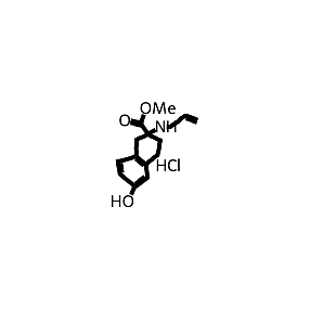 C=CCNC1(C(=O)OC)CCc2cc(O)ccc2C1.Cl